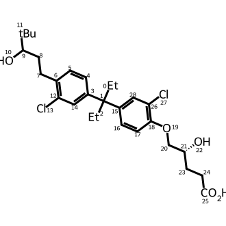 CCC(CC)(c1ccc(CCC(O)C(C)(C)C)c(Cl)c1)c1ccc(OC[C@H](O)CCC(=O)O)c(Cl)c1